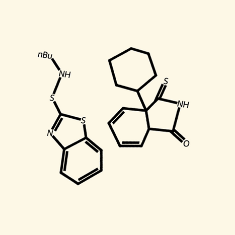 CCCCNSc1nc2ccccc2s1.O=C1NC(=S)C2(C3CCCCC3)C=CC=CC12